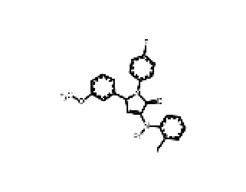 CCN(C1=CC(c2cccc(OC(F)(F)F)c2)N(c2ccc(F)cc2)C1=O)c1ccccc1I